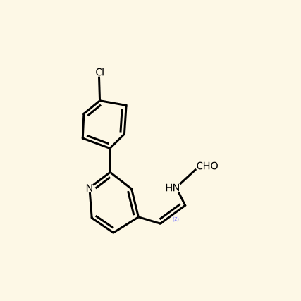 O=CN/C=C\c1ccnc(-c2ccc(Cl)cc2)c1